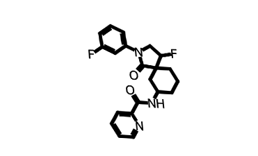 O=C(NC1CCCC2(C1)C(=O)N(c1cccc(F)c1)CC2F)c1ccccn1